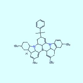 CC(C)(C)C1=CC2C3C(=C1)B1C4C=C(C(C)(C)C)CC5C6=C(C=CC(C(C)(C)C)C6)N(C6=CC(C(C)(C)c7ccccc7)CC(C16)N3C1CCC(C(C)(C)C)C[C@H]21)C45